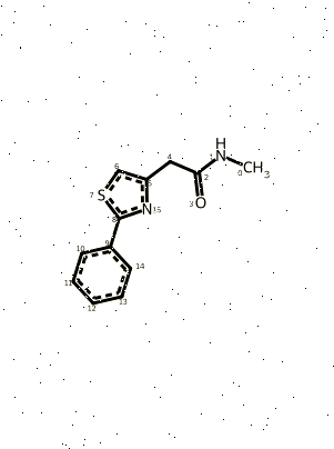 CNC(=O)Cc1csc(-c2ccccc2)n1